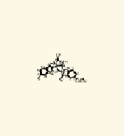 COc1ccc2c(c1)C(=O)N(C[C@@]1(c3cc4ncc(C)cc4o3)NC(=O)NC1=O)C2